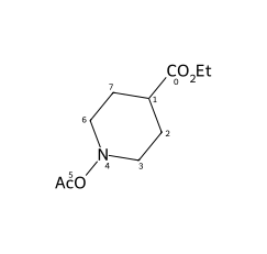 CCOC(=O)C1CCN(OC(C)=O)CC1